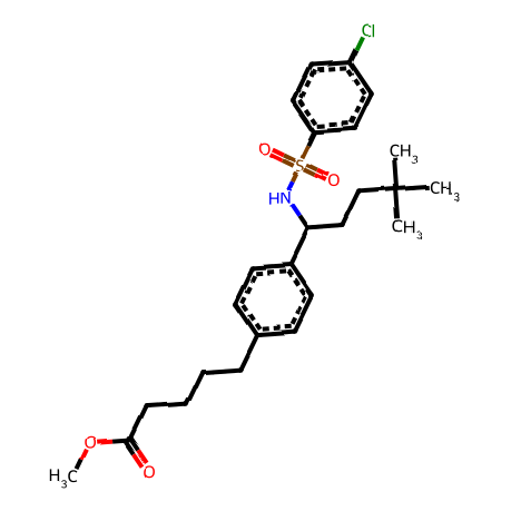 COC(=O)CCCCc1ccc(C(CCC(C)(C)C)NS(=O)(=O)c2ccc(Cl)cc2)cc1